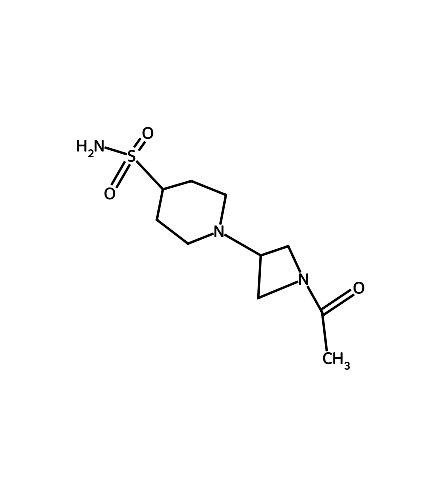 CC(=O)N1CC(N2CCC(S(N)(=O)=O)CC2)C1